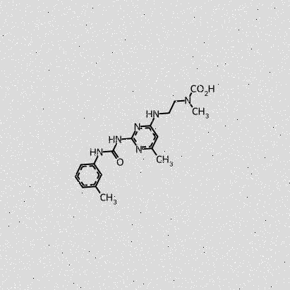 Cc1cccc(NC(=O)Nc2nc(C)cc(NCCN(C)C(=O)O)n2)c1